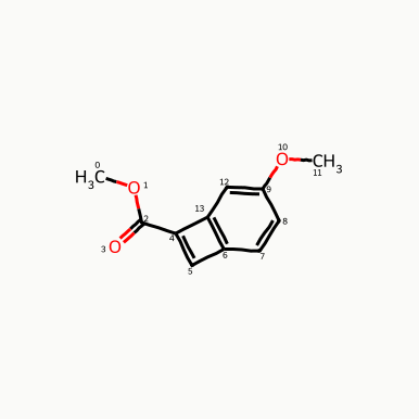 COC(=O)C1=Cc2ccc(OC)cc21